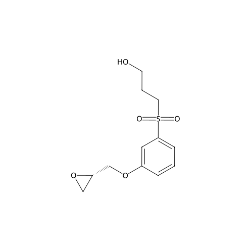 O=S(=O)(CCCO)c1cccc(OC[C@@H]2CO2)c1